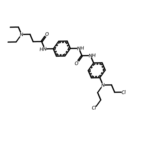 CCN(CC)CCC(=O)Nc1ccc(NC(=O)Nc2ccc(N(CCCl)CCCl)cc2)cc1